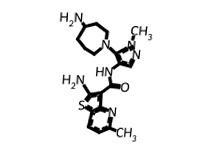 Cc1ccc2sc(N)c(C(=O)Nc3cnn(C)c3N3CCCC(N)CC3)c2n1